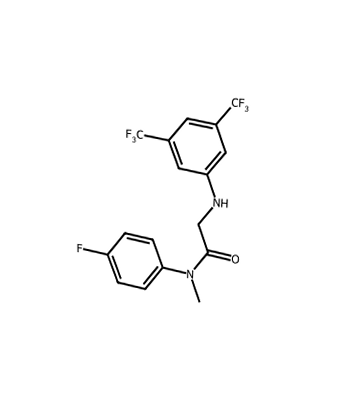 CN(C(=O)CNc1cc(C(F)(F)F)cc(C(F)(F)F)c1)c1ccc(F)cc1